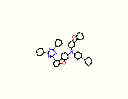 c1ccc(-c2ccc(N(c3ccc4c(c3)oc3cccc(-c5nc(-c6ccccc6)nc(-c6ccccc6)n5)c34)c3ccc4oc5ccccc5c4c3)cc2)cc1